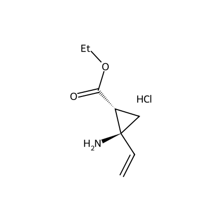 C=C[C@@]1(N)C[C@H]1C(=O)OCC.Cl